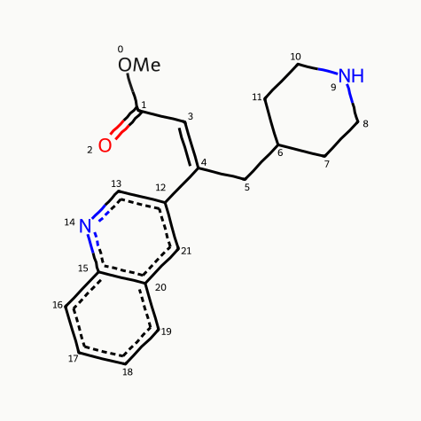 COC(=O)/C=C(/CC1CCNCC1)c1cnc2ccccc2c1